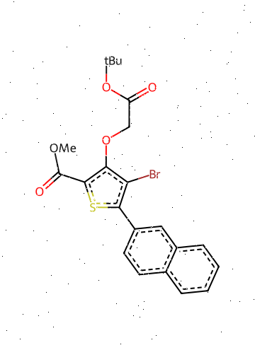 COC(=O)c1sc(-c2ccc3ccccc3c2)c(Br)c1OCC(=O)OC(C)(C)C